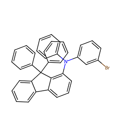 Brc1cccc(N(c2ccccc2)c2cccc3c2C(c2ccccc2)(c2ccccc2)c2ccccc2-3)c1